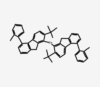 Cc1ccccc1-c1cccc2c1-c1ccc(C(C)(C)C)[c]([Fe][c]3c(C(C)(C)C)ccc4c3Cc3cccc(-c5ccccc5C)c3-4)c1C2